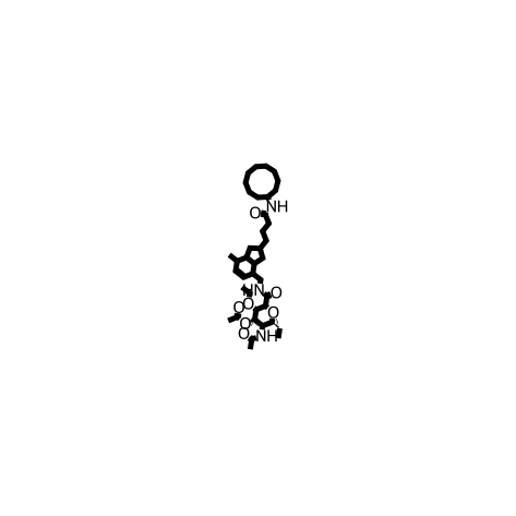 CCOC1C(C(=O)NCC2C=CC(C)C3CC(CCCC(=O)NC4CCCCCCCCC4)CC23)O[C@H](CC)C(NC(C)=O)[C@H]1OC(C)=O